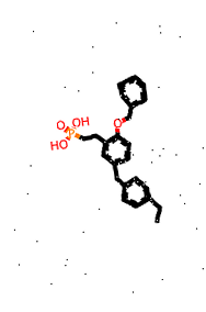 CCc1ccc(Cc2ccc(OCc3ccccc3)c(CCP(=O)(O)O)c2)cc1